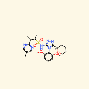 COc1cccc(OC)c1-n1c(NS(=O)(=O)C(C)C(C)c2ncc(C)cn2)nnc1[C@H]1CCCCO1